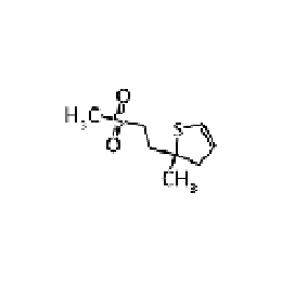 CC1(CCS(C)(=O)=O)CC=CS1